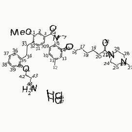 COc1cc(C(=O)N(C)c2ccc(C)cc2OCCCCCC(=O)N2CCN(C)CC2)ccc1CCc1ccccc1OCCCN.Cl.Cl